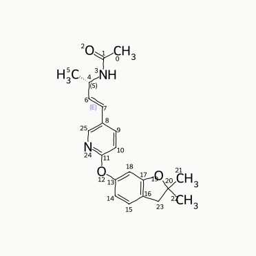 CC(=O)N[C@@H](C)/C=C/c1ccc(Oc2ccc3c(c2)OC(C)(C)C3)nc1